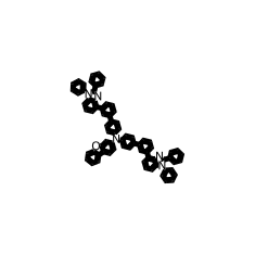 c1ccc(-c2nc3c(-c4cccc(-c5ccc(N(c6ccc(-c7cccc(-c8cccc9c8nc(-c8ccccc8)n9-c8ccccc8)c7)cc6)c6ccc7c(c6)oc6ccccc67)cc5)c4)cccc3n2-c2ccccc2)cc1